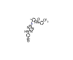 Cc1ccc(C(=O)Nc2cccc(C(F)(F)F)c2)cc1/C=C/n1cnc2c(Nc3ccc(P(C)(C)=O)cc3)ncnc21